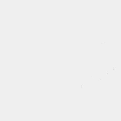 CCCC1CCC(C2CCC(C(F)(F)Oc3c(C)cc(OCC)c(F)c3C(F)(F)F)CC2)CC1